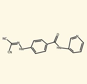 N#CC(C#N)=NNc1ccc(C(=O)Nc2cccnc2)cc1